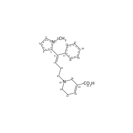 Cn1cccc1C(=CCCN1CCC=C(C(=O)O)C1)c1ccccc1